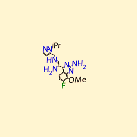 COc1c(F)ccc2c(/C(N)=C/NCc3ccnn3C(C)C)nc(N)nc12